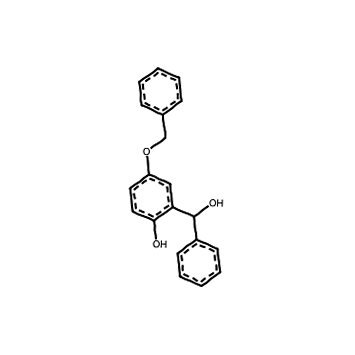 Oc1ccc(OCc2ccccc2)cc1C(O)c1ccccc1